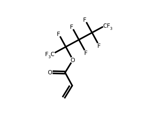 C=CC(=O)OC(F)(C(F)(F)F)C(F)(F)C(F)(F)C(F)(F)F